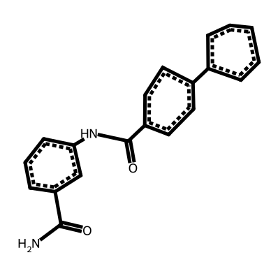 NC(=O)c1cccc(NC(=O)c2ccc(-c3ccccc3)cc2)c1